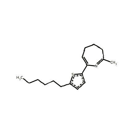 CCCCCCc1ccc(C2=CCCCC(C)=N2)s1